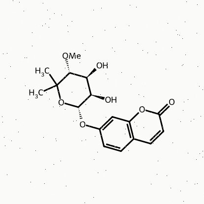 CO[C@@H]1[C@@H](O)[C@@H](O)[C@H](Oc2ccc3ccc(=O)oc3c2)OC1(C)C